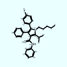 CCCCCn1c(-c2ccc(F)cc2)c(-c2ccccc2)c(C(=O)Nc2ccccc2)c1C(C)C